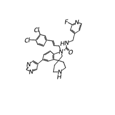 O=C(NCc1ccnc(F)c1)[N+]1(C/C=C/c2ccc(Cl)c(Cl)c2)CC2(CCNCC2)c2cc(-c3cncnc3)ccc21